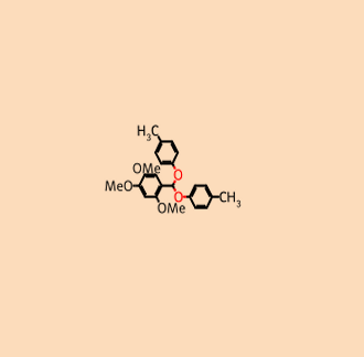 COc1cc(OC)c(C(Oc2ccc(C)cc2)Oc2ccc(C)cc2)c(OC)c1